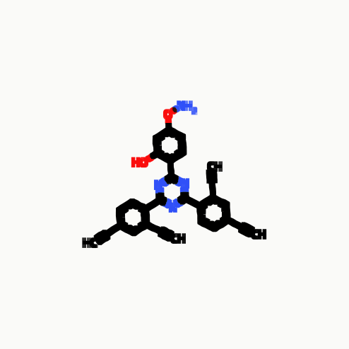 C#Cc1ccc(-c2nc(-c3ccc(ON)cc3O)nc(-c3ccc(C#C)cc3C#C)n2)c(C#C)c1